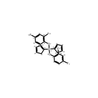 Fc1ccc([O][Zr]([O]c2ccc(F)cc2F)([C]2=CC=CC2)[C]2=CC=CC2)c(F)c1